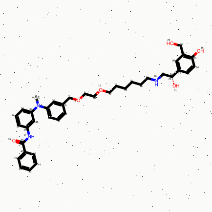 CC(=O)N(c1cccc(COCCOCCCCCCNC[C@@H](O)c2ccc(O)c(CO)c2)c1)c1cccc(NC(=O)c2ccccc2)c1